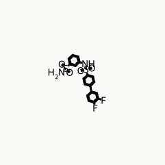 NS(=O)(=O)c1cccc(NS(=O)(=O)c2ccc(-c3ccc(F)c(F)c3)cc2)c1